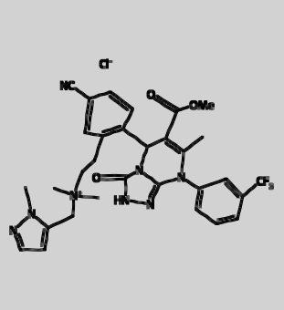 COC(=O)C1=C(C)N(c2cccc(C(F)(F)F)c2)c2n[nH]c(=O)n2C1c1ccc(C#N)cc1CC[N+](C)(C)Cc1ccnn1C.[Cl-]